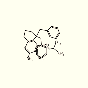 CC(C)CNc1c(N)c(N)nc2c1C(Cc1ccccc1)(Cc1ccccc1)CCC2